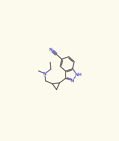 CCN(C)CC1CC1c1n[nH]c2ccc(C#N)cc12